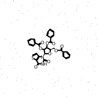 O=C(OC[C@H]1O[C@@H](n2c(=O)[nH]c(=O)c3sccc32)C(OC(=O)c2ccccc2)C1OC(=O)c1ccccc1)c1ccccc1